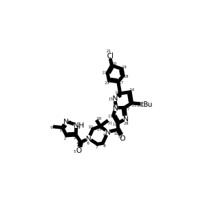 Cc1cc(C(=O)N2CCN(C(=O)c3cn4nc(-c5ccc(Cl)cc5)cc(C(C)(C)C)c4n3)C(C)(C)C2)[nH]n1